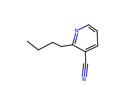 CCCCc1ncccc1C#N